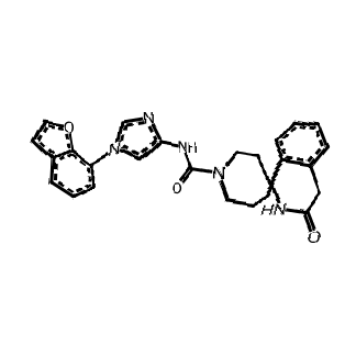 O=C1Cc2ccccc2C2(CCN(C(=O)Nc3cn(-c4cccc5ccoc45)cn3)CC2)N1